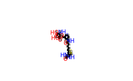 N[C@H](C(=O)O)[C@H](OCc1cccc(NC(=O)CCCCC2SCC3NC(=O)NC32)c1)C(=O)O